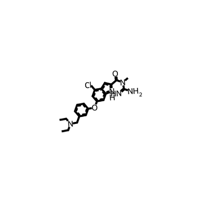 CCN(CC)Cc1cccc(Oc2cc(Cl)c3cc(C(=O)N(C)C(=N)N)[nH]c3c2)c1